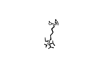 CCN(CCCCC[SiH](OC)OC)[Si](C(C)C)(C(C)C)C(C)C